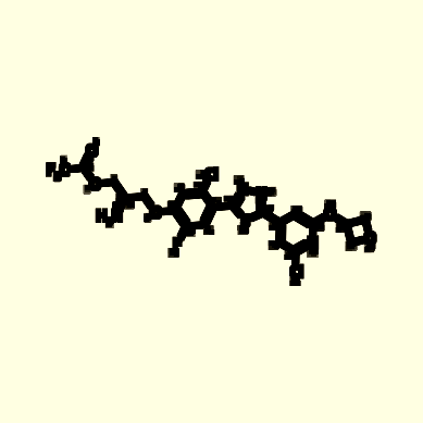 N[C@H](COC(=O)C(F)(F)F)COc1cc(Cl)c(-c2nnc(-c3cc(Cl)nc(OC4COC4)c3)s2)cc1F